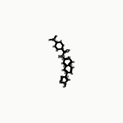 CN(C)C1CCC(C(=O)Nc2cc3cc(-c4cn(C)nn4)ccc3cn2)CC1